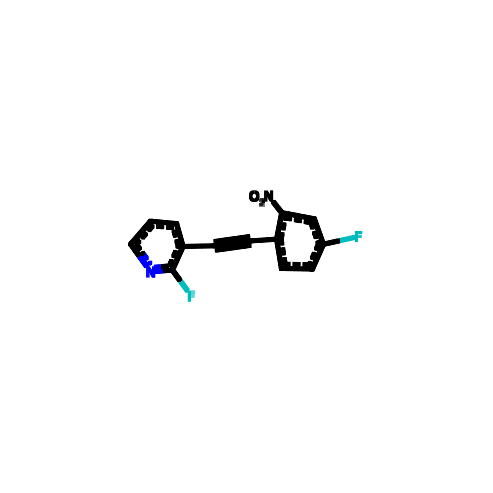 O=[N+]([O-])c1cc(F)ccc1C#Cc1cccnc1F